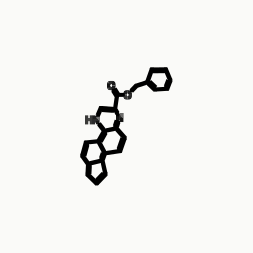 O=C(OCc1ccccc1)c1c[nH]c2c(ccc3c4cccc4ccc32)n1